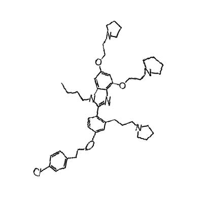 CCCCn1c(-c2ccc(OCCc3ccc(Cl)cc3)cc2CCCN2CCCC2)nc2c(OCCN3CCCC3)cc(OCCN3CCCC3)cc21